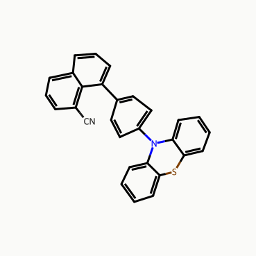 N#Cc1cccc2cccc(-c3ccc(N4c5ccccc5Sc5ccccc54)cc3)c12